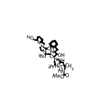 CCC(C)C(C(=O)NC(Cc1ccccc1)C(O)CN(CCC(C)C)NC(=O)CC(C)(C)CNC(=O)OC)N1CCN(Cc2cccc(CO)n2)C1=O